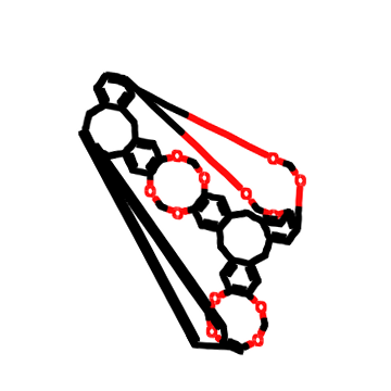 c1c2c3cc4c1OCOc1cc5c(cc1OCO4)Cc1cc4c6cc1Cc1cc7c(cc1C5)OCOc1cc(c(cc1OCO7)Cc1cc(c(cc1C3)OCO4)OCO6)C2